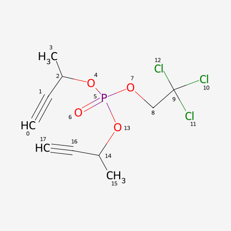 C#CC(C)OP(=O)(OCC(Cl)(Cl)Cl)OC(C)C#C